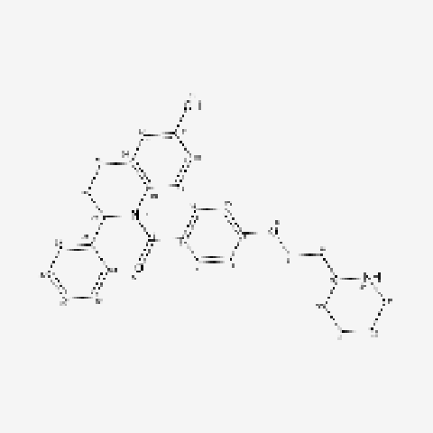 O=C(c1ccc(OCCC2CCCCN2)cc1)N1c2ccc(O)cc2CCC1c1ccccc1